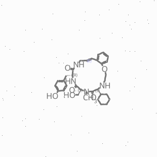 CN1C(=O)[C@H](C2CCCCC2)NCCOc2ccccc2/C=C/CNC(=O)[C@@H](Cc2ccc(O)cc2)NC(=O)[C@@H]1CO